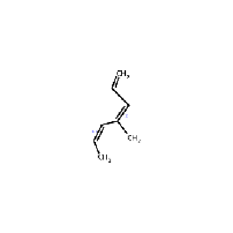 C=C/C=C(C)\C=C/C